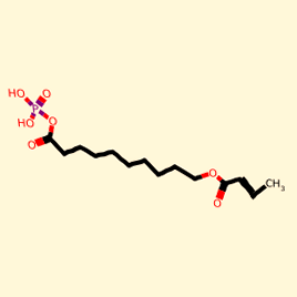 CC=CC(=O)OCCCCCCCCCC(=O)OP(=O)(O)O